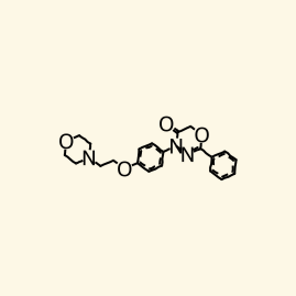 O=C1COC(c2ccccc2)=NN1c1ccc(OCCN2CCOCC2)cc1